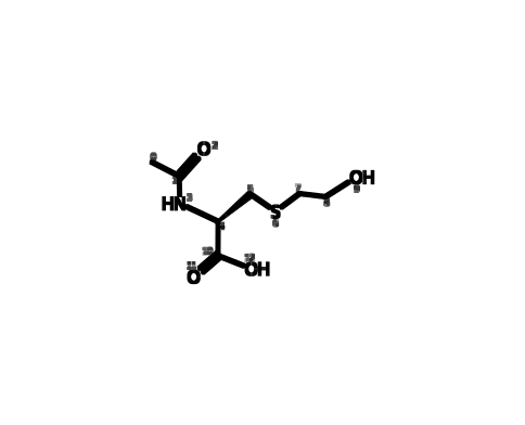 CC(=O)N[C@@H](CSCCO)C(=O)O